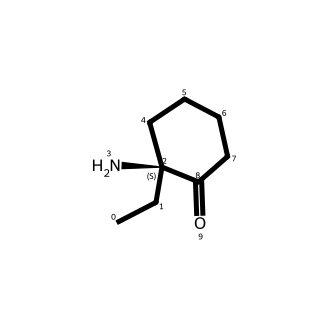 CC[C@]1(N)CCCCC1=O